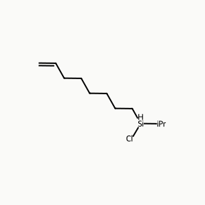 C=CCCCCCC[SiH](Cl)C(C)C